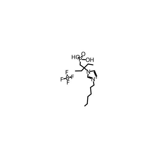 CCCCCC[n+]1ccn(C(CC)(CC)CP(=O)(O)O)c1.F[B-](F)(F)F